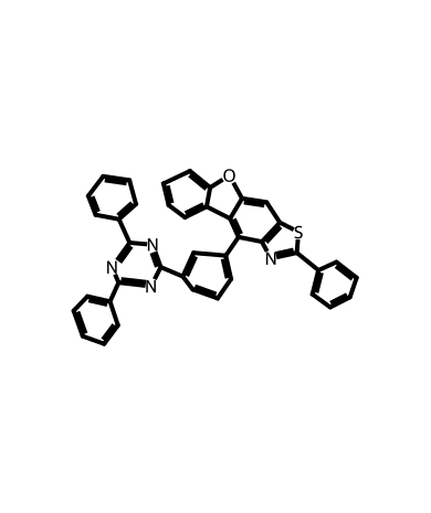 c1ccc(-c2nc(-c3ccccc3)nc(-c3cccc(-c4c5nc(-c6ccccc6)sc5cc5oc6ccccc6c45)c3)n2)cc1